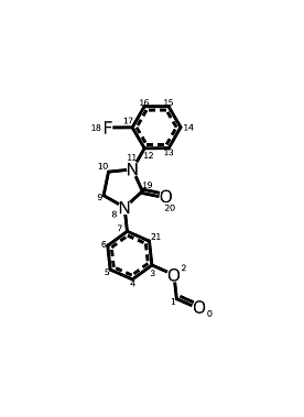 O=COc1cccc(N2CCN(c3ccccc3F)C2=O)c1